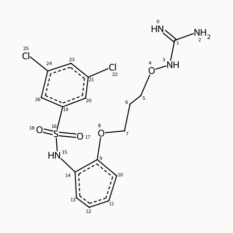 N=C(N)NOCCCOc1ccccc1NS(=O)(=O)c1cc(Cl)cc(Cl)c1